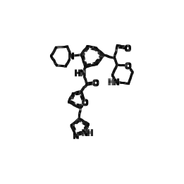 O=CC(c1ccc(N2CCCCC2)c(NC(=O)c2ccc(-c3cn[nH]c3)o2)c1)C1CNCCO1